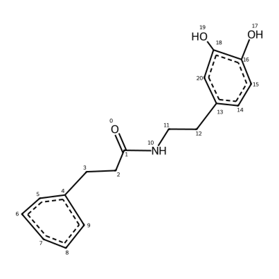 O=C(CCc1ccccc1)NCCc1ccc(O)c(O)c1